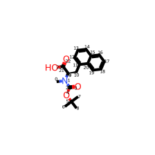 CN(C(=O)OC(C)(C)C)[C@H](Cc1cccc2ccccc12)C(=O)O